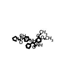 CCOc1cc2c(cc1OCC)C(=C(Nc1ccc(N(C)C(=O)N3CCCCC3)cc1)c1ccccc1)C(=O)N2